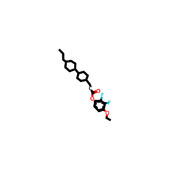 CCCC1CCC(C2CCC(CCC(=O)Oc3ccc(OCC)c(F)c3F)CC2)CC1